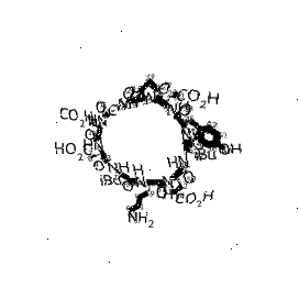 CC[C@H](C)[C@@H]1NC(=O)[C@H](CC(=O)O)NC(=O)[C@@H](CC(=O)O)NC(=O)CNC(=O)[C@@H]2CCCN2C(=O)[C@H](CC(=O)O)NC(=O)[C@H](Cc2ccc(O)cc2)NC(=O)[C@H]([C@@H](C)CC)NC(=O)[C@H](CCC(=O)O)NC(=O)[C@H](CCCCN)NC1=O